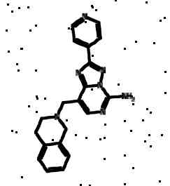 Nc1ncc(CN2CCc3ccccc3C2)c2nc(-c3ccncc3)nn12